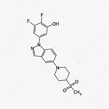 CS(=O)(=O)C1CCN(c2ccc3c(cnn3-c3cc(O)c(F)c(F)c3)c2)CC1